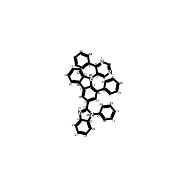 c1ccc(-c2ncncc2-n2c3ccccc3c3cc(-c4nc5ccccc5n4-c4ccccc4)cc(-c4ccccc4)c32)cc1